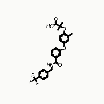 Cc1cc(Oc2cccc(C(=O)NCc3ccc(C(F)(F)F)cc3)c2)ccc1OC(C)(C)C(=O)O